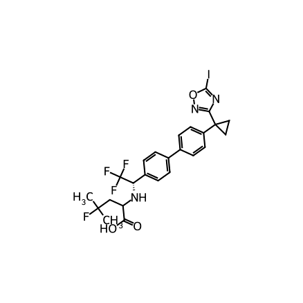 CC(C)(F)CC(N[C@@H](c1ccc(-c2ccc(C3(c4noc(I)n4)CC3)cc2)cc1)C(F)(F)F)C(=O)O